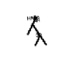 C=C1C(=O)C(NCCCN(CCCCCCCC)CCCCCCCC(=O)OC(CCCCCCCC)CCCCCCCC)=C1NC